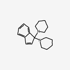 C1=CC(N2CCCCC2)(N2CCCCC2)c2ccccc21